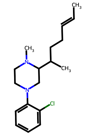 CC=CCCC(C)C1CN(c2ccccc2Cl)CCN1C